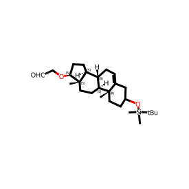 CC(C)(C)[Si](C)(C)OC1CC[C@@]2(C)C(=CC[C@H]3[C@@H]4CC[C@H](OCC=O)[C@@]4(C)CC[C@@H]32)C1